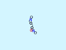 C1=CC(N2CCc3ccc(Cc4ccc5c(c4)CN(C4=CCCC=C4)CO5)cc3C2)=CCC1